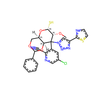 CO[C@H]1[C@@H](S)O[C@@H]2COC(c3ccccc3)O[C@@H]2C1(c1cc(Cl)cnc1C#N)n1cc(-c2nccs2)nn1